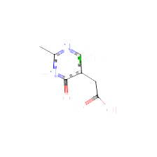 Cc1ncc(CC(=O)O)c(=O)[nH]1.Cl